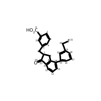 O=C(O)c1cccc(CC2Cc3c(cccc3-c3cccc(CF)c3)C2=O)c1